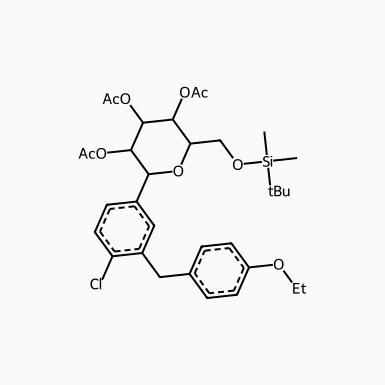 CCOc1ccc(Cc2cc(C3OC(CO[Si](C)(C)C(C)(C)C)C(OC(C)=O)C(OC(C)=O)C3OC(C)=O)ccc2Cl)cc1